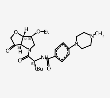 CCO[C@H]1CN(C(=O)[C@@H](NC(=O)c2ccc(N3CCN(C)CC3)cc2)C(C)(C)C)[C@@H]2C(=O)CO[C@H]12